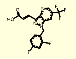 O=C(O)C=Cc1nn(Cc2ccc(F)cc2F)c2cc(C(F)(F)F)cnc12